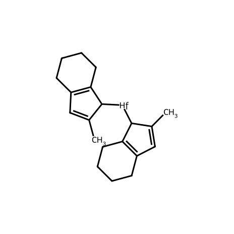 CC1=CC2=C(CCCC2)[CH]1[Hf][CH]1C(C)=CC2=C1CCCC2